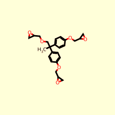 CC(COCC1CO1)(c1ccc(OCC2CO2)cc1)c1ccc(OCC2CO2)cc1